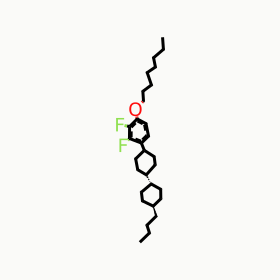 CCCCCCCCOc1ccc(C2CCC([C@H]3CC[C@H](CCCC)CC3)CC2)c(F)c1F